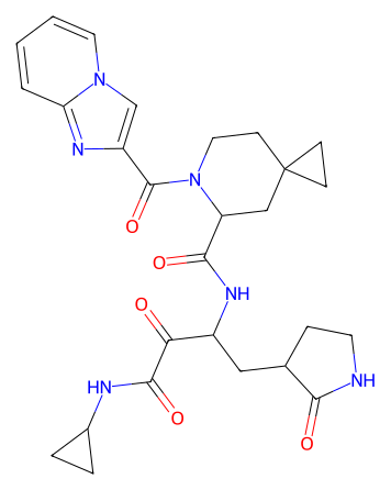 O=C(NC1CC1)C(=O)C(CC1CCNC1=O)NC(=O)C1CC2(CCN1C(=O)c1cn3ccccc3n1)CC2